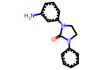 Nc1cccc(N2CCN(c3ccccc3)C2=O)c1